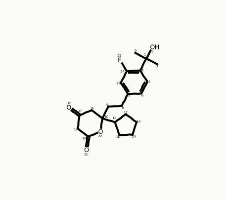 CC(C)(O)c1ccc(CCC2(C3CCCC3)CC(=O)CC(=O)O2)cc1F